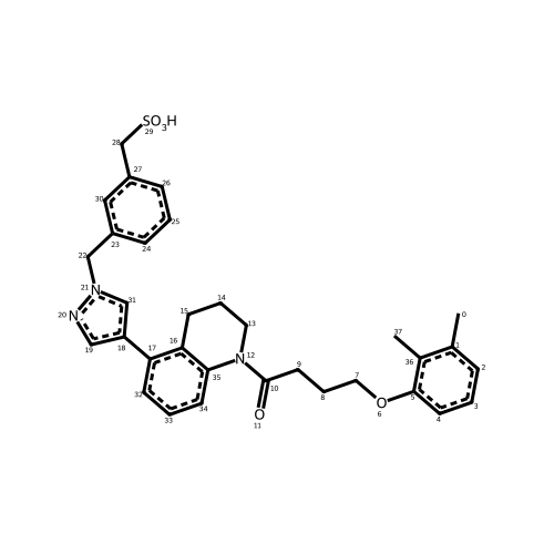 Cc1cccc(OCCCC(=O)N2CCCc3c(-c4cnn(Cc5cccc(CS(=O)(=O)O)c5)c4)cccc32)c1C